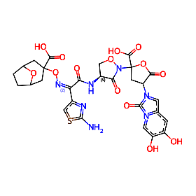 Nc1nc(/C(=N/OC2(C(=O)O)CC3CCC(C2)O3)C(=O)N[C@H]2CON(C3(C(=O)O)CC(n4cc5cc(O)c(O)cn5c4=O)C(=O)O3)C2=O)cs1